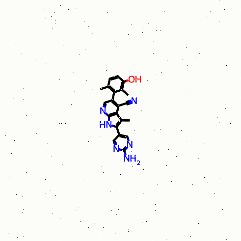 Cc1ccc(O)c(C)c1-c1cnc2[nH]c(-c3cnc(N)nc3)c(C)c2c1C#N